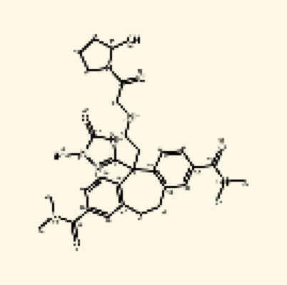 CC(C)n1nc(C2(CCNCC(=O)N3CCCC3C#N)c3ccc(C(=O)N(C)C)cc3CCc3cc(C(=O)N(C)C)ccc32)[nH]c1=O